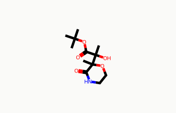 CC(C)(C)OC(=O)C(C)(O)C1(C)OCCNC1=O